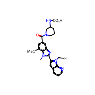 COc1cc(C(=O)N2CCCC(NC(=O)O)C2)cc2nc(-c3cc4cccnc4n3CC(C)C)n(C)c12